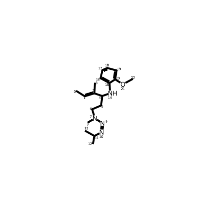 C/C=C(\C)C(CCN(C)/N=N\C(C)C)Nc1ccccc1OC